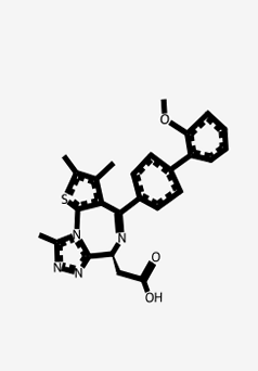 COc1ccccc1-c1ccc(C2=N[C@@H](CC(=O)O)c3nnc(C)n3-c3sc(C)c(C)c32)cc1